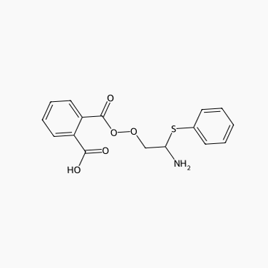 NC(COOC(=O)c1ccccc1C(=O)O)Sc1ccccc1